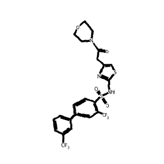 O=C(Cc1csc(NS(=O)(=O)c2ccc(-c3cccc(C(F)(F)F)c3)cc2C(F)(F)F)n1)N1CCOCC1